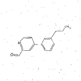 CCCc1cccc(-c2ccnc([C]=O)c2)c1